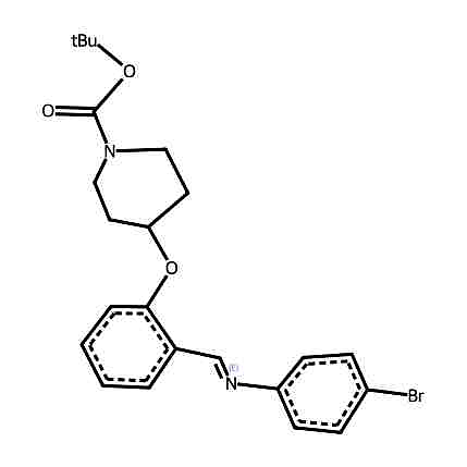 CC(C)(C)OC(=O)N1CCC(Oc2ccccc2/C=N/c2ccc(Br)cc2)CC1